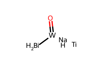 [NaH].[O]=[W][BiH2].[Ti]